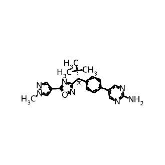 Cn1cc(-c2nc([C@@H](c3ccc(-c4cnc(N)nc4)cc3)C(C)(C)C)no2)cn1